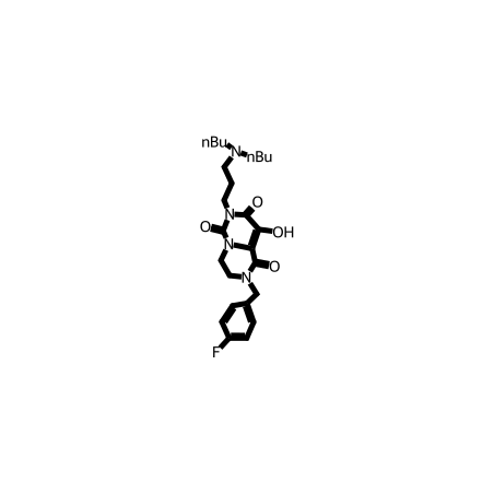 CCCCN(CCCC)CCCn1c(=O)c(O)c2n(c1=O)CCN(Cc1ccc(F)cc1)C2=O